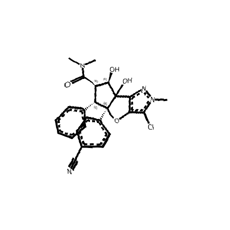 CN(C)C(=O)[C@H]1[C@@H](O)C2(O)c3nn(C)c(Cl)c3O[C@@]2(c2ccc(C#N)cc2)[C@@H]1c1ccccc1